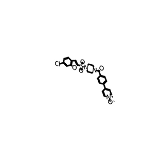 O=C(c1ccc(-c2cc[n+]([O-])cc2)cc1)N1CCN(S(=O)(=O)c2cc3ccc(Cl)cc3o2)CC1